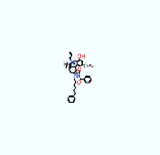 C=CCN1CC[C@]23c4c5c(O)cc(OC(C)=O)c4O[C@H]2[C@@H](N(CCCCCCc2ccccc2)CC(=O)c2ccccc2)CC[C@H]3[C@H]1C5